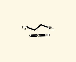 N=C=S.NCCN